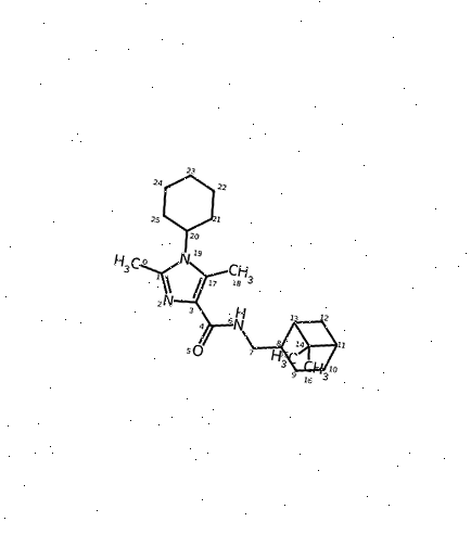 Cc1nc(C(=O)NCC2CCC3CC2C3(C)C)c(C)n1C1CCCCC1